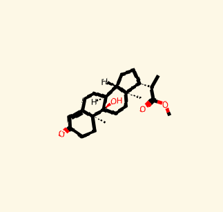 COC(=O)C(C)[C@H]1CC[C@H]2[C@@H]3CCC4=CC(=O)CC[C@]4(C)[C@@]3(O)CC[C@]12C